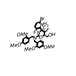 COc1ccc(CN(Cc2ccc(OC)cc2OC)C2=N[C@](C)(c3nc(Br)ccc3F)[C@@H](F)[C@@H](CO)O2)c(OC)c1